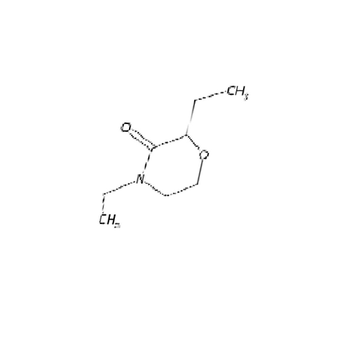 CCC1OCCN(CC)C1=O